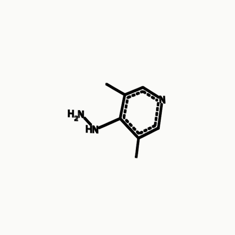 Cc1cncc(C)c1NN